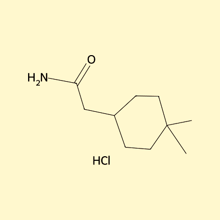 CC1(C)CCC(CC(N)=O)CC1.Cl